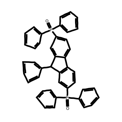 O=P(c1ccccc1)(c1ccccc1)c1ccc2c(c1)C(c1ccccc1)c1cc(P(=O)(c3ccccc3)c3ccccc3)ccc1-2